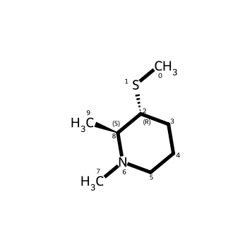 CS[C@@H]1CCCN(C)[C@H]1C